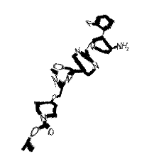 CC(C)OC(=O)N1CCC(OCc2noc(-c3cnc(N4C[C@H](c5ccccc5F)[C@@H](N)C4)nc3)n2)CC1